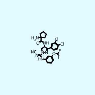 N#CN=C(Nc1cccc(OC(F)F)c1)N1CC(NC(=O)C2(N)CCCC2)C(c2ccc(Cl)c(Cl)c2)=N1